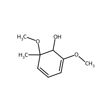 COC1=CC=CC(C)(OC)C1O